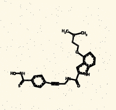 CN(C)CCOc1cccc2[nH]c(C(=O)NCC#Cc3ccc(C(=S)NO)cc3)cc12